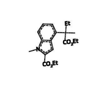 CCOC(=O)c1cc2c(C(C)(CC)C(=O)OCC)cccc2n1C